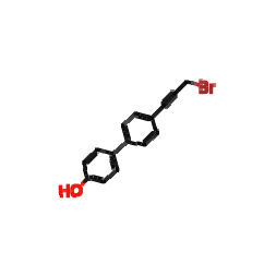 Oc1ccc(-c2ccc(C#CCBr)cc2)cc1